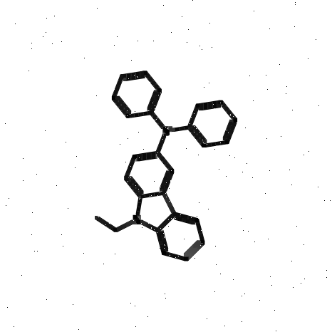 CCn1c2ccccc2c2cc([S+](c3ccccc3)c3ccccc3)ccc21